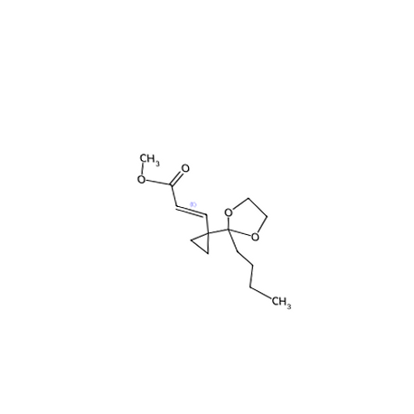 CCCCC1(C2(/C=C/C(=O)OC)CC2)OCCO1